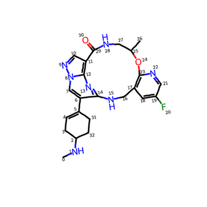 CNC1CC=C(c2cn3ncc4c3nc2NCc2cc(F)cnc2OC(C)CNC4=O)CC1